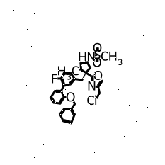 C[C@@H]1C[C@@H](NS(C)(=O)=O)C[C@]1(Cc1ccc(F)c(-c2ccccc2OCc2ccccc2)c1)c1nc(CCl)co1